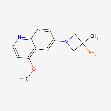 COc1ccnc2ccc(N3CC(C)(P)C3)cc12